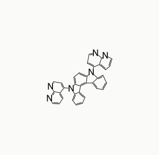 c1cnc2nccc(-n3c4ccccc4c4c5c6ccccc6n(-c6ccnc7ncccc67)c5ccc43)c2c1